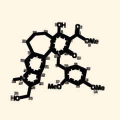 COC(=O)c1c(O)c2c(n(Cc3ccc(OC)cc3OC)c1=O)-c1cc3cc(CO)n(C)c3cc1CCC2